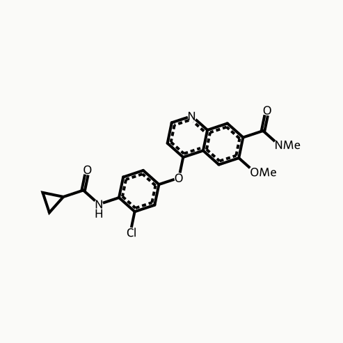 CNC(=O)c1cc2nccc(Oc3ccc(NC(=O)C4CC4)c(Cl)c3)c2cc1OC